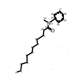 CCCCCCCCCCCC(=O)N(C)c1ccccc1